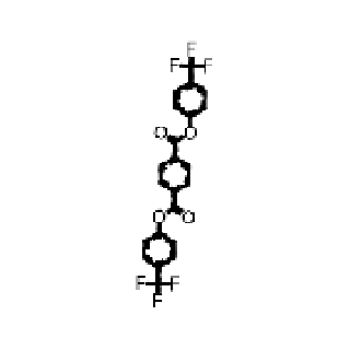 O=C(Oc1ccc(C(F)(F)F)cc1)c1ccc(C(=O)Oc2ccc(C(F)(F)F)cc2)cc1